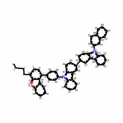 CCCCc1ccc(-c2ccc(-n3c4ccccc4c4cc(-c5ccc6c(c5)c5ccccc5n6-c5ccc6ccccc6c5)ccc43)cc2)c2c1oc1ccccc12